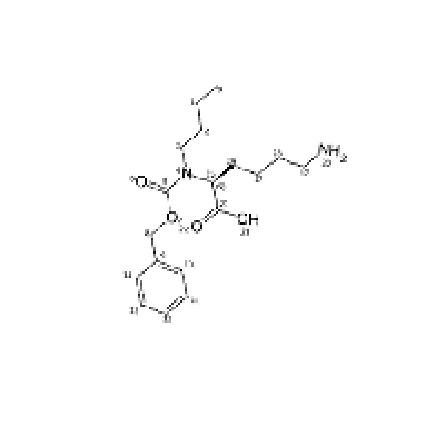 CCCCN(C(=O)OCc1ccccc1)[C@@H](CCCCN)C(=O)O